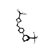 O=C(O)C1CN(Cc2ccc(-c3cccc(C(F)(F)F)c3)cc2)C1